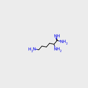 N=C(N)C(N)CCCCN